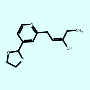 NC/C(O)=C\Cc1cc(C2OCCO2)ccn1